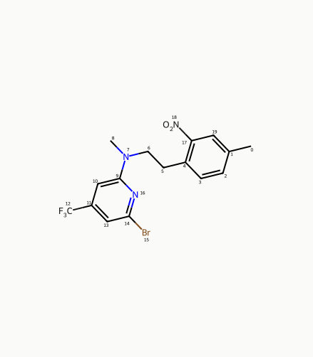 Cc1ccc(CCN(C)c2cc(C(F)(F)F)cc(Br)n2)c([N+](=O)[O-])c1